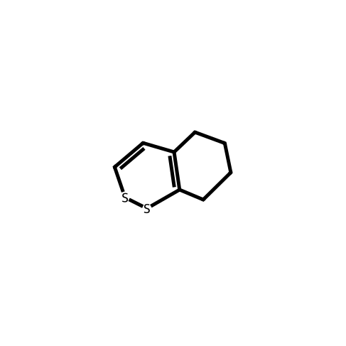 C1=CC2=C(CCCC2)SS1